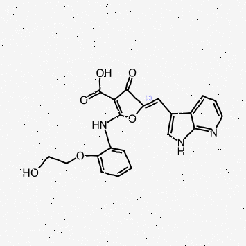 O=C(O)C1=C(Nc2ccccc2OCCO)O/C(=C\c2c[nH]c3ncccc23)C1=O